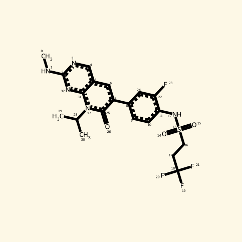 CNc1ncc2cc(-c3ccc(NS(=O)(=O)CCC(F)(F)F)c(F)c3)c(=O)n(C(C)C)c2n1